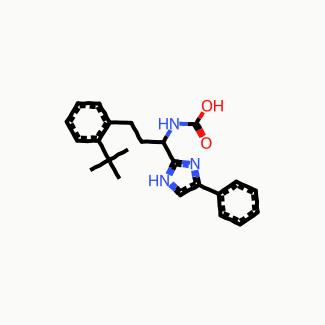 CC(C)(C)c1ccccc1CCC(NC(=O)O)c1nc(-c2ccccc2)c[nH]1